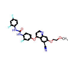 COCCOc1cc2nccc(Oc3ccc(NC(=O)Nc4ccc(F)cc4F)c(F)c3)c2cc1C#N